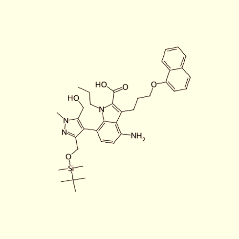 CCCn1c(C(=O)O)c(CCCOc2cccc3ccccc23)c2c(N)ccc(-c3c(CO[Si](C)(C)C(C)(C)C)nn(C)c3CO)c21